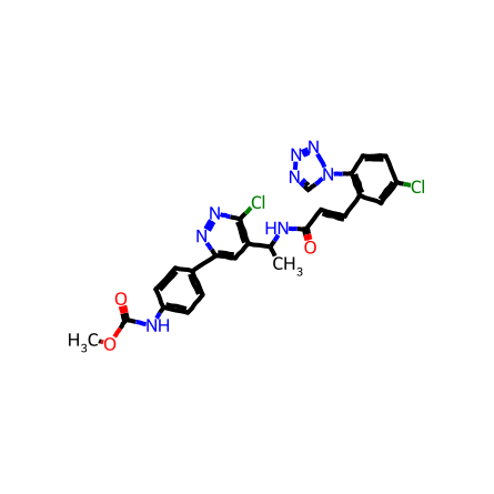 COC(=O)Nc1ccc(-c2cc(C(C)NC(=O)C=Cc3cc(Cl)ccc3-n3cnnn3)c(Cl)nn2)cc1